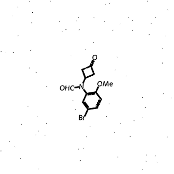 COc1ccc(Br)cc1N(C=O)C1CC(=O)C1